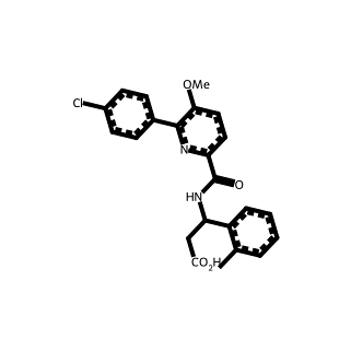 COc1ccc(C(=O)NC(CC(=O)O)c2ccccc2C)nc1-c1ccc(Cl)cc1